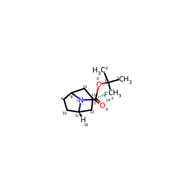 CC(C)(C)OC(=O)N1C2CC[C@H]1C[C@@H](F)C2